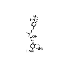 COc1ccc(OCC(O)CN(C)CCCc2ccc(NS(C)(=O)=O)cc2)c2c1NC(=O)CC2